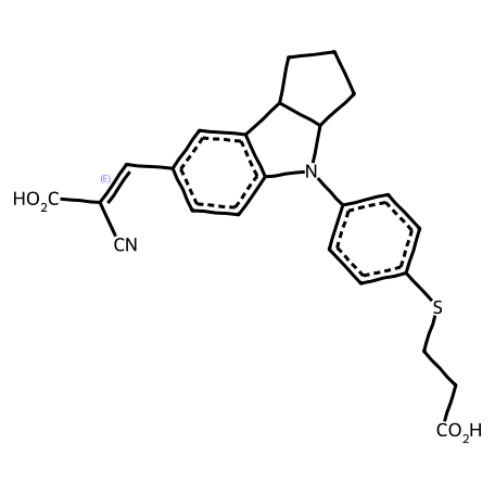 N#C/C(=C\c1ccc2c(c1)C1CCCC1N2c1ccc(SCCC(=O)O)cc1)C(=O)O